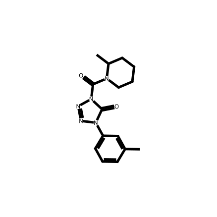 Cc1cccc(-n2nnn(C(=O)N3CCCCC3C)c2=O)c1